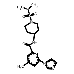 Cc1cc(C(=O)NC2CCN(S(=O)(=O)N(C)C)CC2)nc(-n2ccnc2)c1